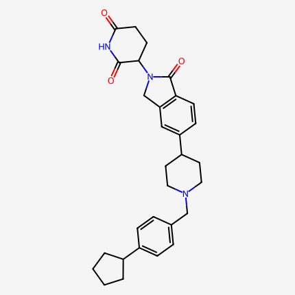 O=C1CCC(N2Cc3cc(C4CCN(Cc5ccc(C6CCCC6)cc5)CC4)ccc3C2=O)C(=O)N1